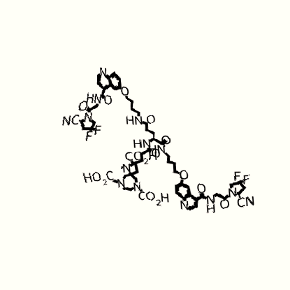 CN(CC(=O)O)C1(CCCCC(=O)N[C@@H](CCC(=O)NCCCCOc2ccc3nccc(C(=O)NCC(=O)N4CC(F)(F)C[C@H]4C#N)c3c2)C(=O)NCCCCOc2ccc3nccc(C(=O)NCC(=O)N4CC(F)(F)C[C@H]4C#N)c3c2)CN(CC(=O)O)CCN(CC(=O)O)C1